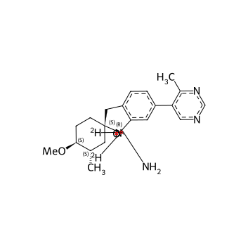 [2H]C1([2H])OC(N)=N[C@]12c1cc(-c3cncnc3C)ccc1C[C@@]21CC[C@H](OC)[C@@H](C)C1